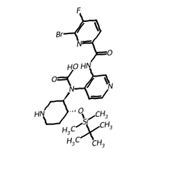 CC(C)(C)[Si](C)(C)O[C@@H]1CCNC[C@H]1N(C(=O)O)c1ccncc1NC(=O)c1ccc(F)c(Br)n1